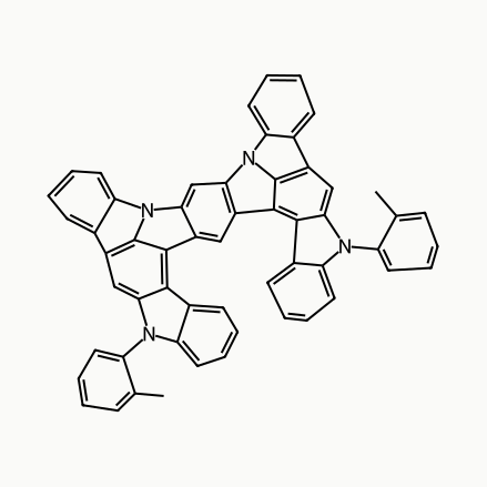 Cc1ccccc1-n1c2ccccc2c2c3c4cc5c6c7c8ccccc8n(-c8ccccc8C)c7cc7c8ccccc8n(c5cc4n4c5ccccc5c(cc21)c34)c76